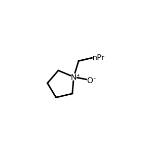 CCCC[N+]1([O-])CCCC1